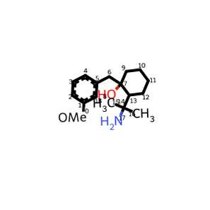 COc1cccc(CC2(O)CCCCC2C(C)(C)N)c1